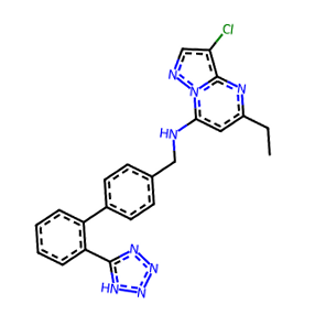 CCc1cc(NCc2ccc(-c3ccccc3-c3nnn[nH]3)cc2)n2ncc(Cl)c2n1